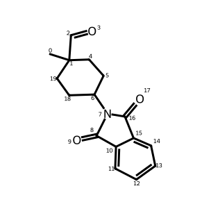 CC1(C=O)CCC(N2C(=O)c3ccccc3C2=O)CC1